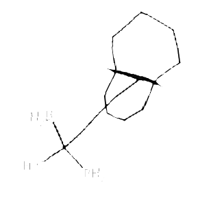 BC(B)(C)C1CCC23CCCCC2(CCCC3)C1